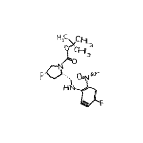 CC(C)(C)OC(=O)N1C[C@@H](F)C[C@H]1CNc1ccc(F)cc1[N+](=O)[O-]